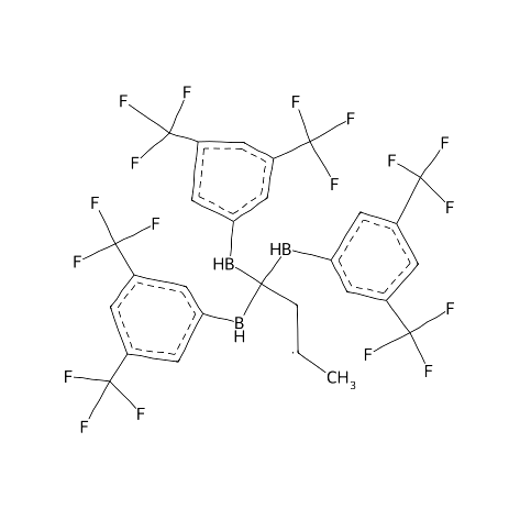 C[CH]CC(Bc1cc(C(F)(F)F)cc(C(F)(F)F)c1)(Bc1cc(C(F)(F)F)cc(C(F)(F)F)c1)Bc1cc(C(F)(F)F)cc(C(F)(F)F)c1